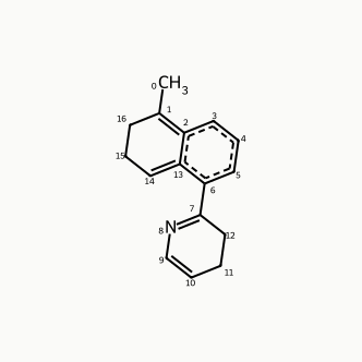 CC1=c2cccc(C3=NC=CCC3)c2=CCC1